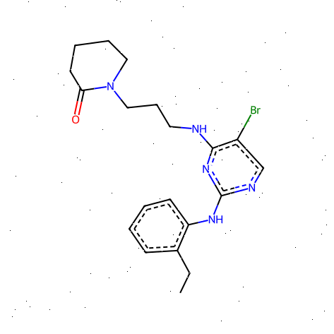 CCc1ccccc1Nc1ncc(Br)c(NCCCN2CCCCC2=O)n1